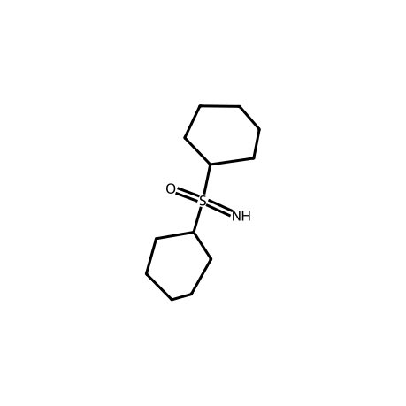 N=S(=O)(C1CCCCC1)C1CCCCC1